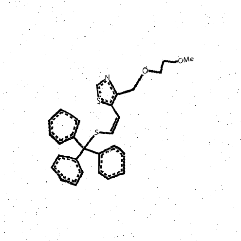 COCCOCc1ncsc1/C=C\SC(c1ccccc1)(c1ccccc1)c1ccccc1